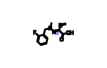 C=N/C(=N\N(C)Cc1ccccc1F)C(=O)O